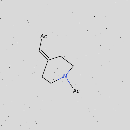 CC(=O)C=C1CCN(C(C)=O)CC1